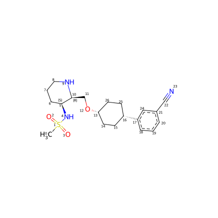 CS(=O)(=O)N[C@H]1CCCN[C@H]1CO[C@H]1CC[C@@H](c2cccc(C#N)c2)CC1